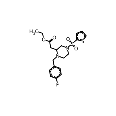 CCOC(=O)CC1CN(S(=O)(=O)c2cccs2)CCN1Cc1ccc(F)cc1